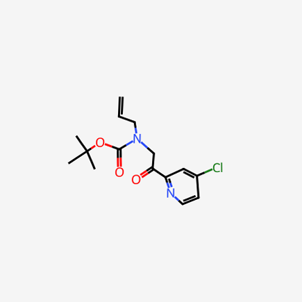 C=CCN(CC(=O)c1cc(Cl)ccn1)C(=O)OC(C)(C)C